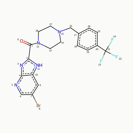 O=C(c1nc2ncc(Br)cc2[nH]1)N1CCN(Cc2ccc(C(F)(F)F)cc2)CC1